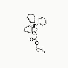 CCOC(=O)CC(=O)C[PH](c1ccccc1)(c1ccccc1)c1ccccc1